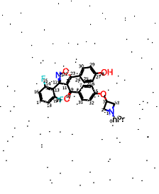 CCCN1CC(Oc2ccc(C(=O)c3c(-c4c(F)cccc4F)noc3-c3ccc(O)cc3)cc2)C1